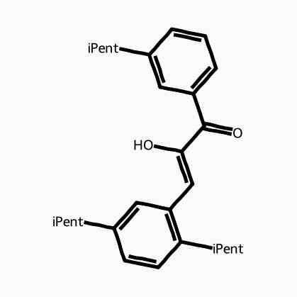 CCCC(C)c1cccc(C(=O)C(O)=Cc2cc(C(C)CCC)ccc2C(C)CCC)c1